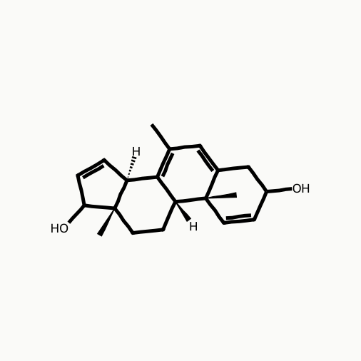 CC1=C2[C@@H](CC[C@]3(C)C(O)C=C[C@@H]23)[C@@]2(C)C=CC(O)CC2=C1